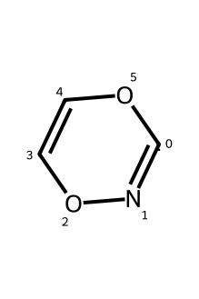 [C]1=NOC=CO1